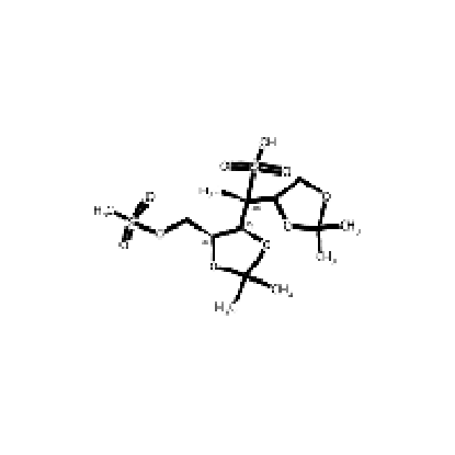 CC1(C)OCC([C@](C)([C@H]2OC(C)(C)O[C@H]2COS(C)(=O)=O)S(=O)(=O)O)O1